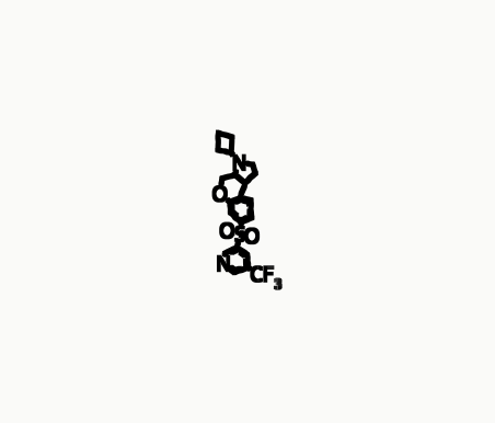 O=S(=O)(c1cncc(C(F)(F)F)c1)c1ccc2c(c1)OCC1C2CCN1C1CCC1